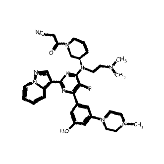 CN(C)CCN(c1nc(-c2cnn3ccccc23)nc(-c2cc(O)cc(N3CCN(C)CC3)c2)c1F)[C@@H]1CCCN(C(=O)CC#N)C1